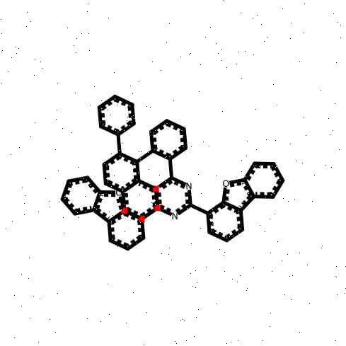 c1ccc(-c2ccc3ccccc3c2-c2ccccc2-c2nc(-c3cccc4c3oc3ccccc34)nc(-c3cccc4c3oc3ccccc34)n2)cc1